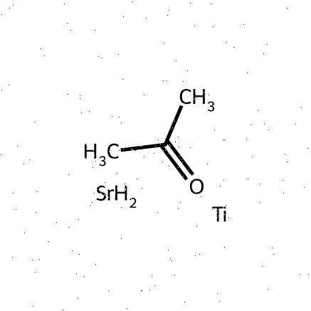 CC(C)=O.[SrH2].[Ti]